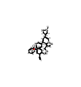 C#Cc1cc(C(=O)N2C3CC2CN(c2ccc(-c4cc(-c5cnn(C)c5)cn5ncc(/C=N/C)c45)cn2)C3)ccc1F